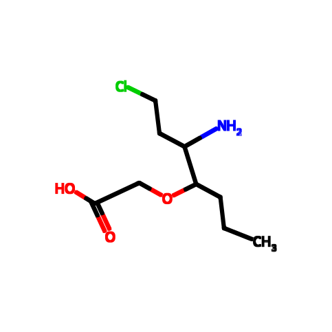 CCCC(OCC(=O)O)C(N)CCCl